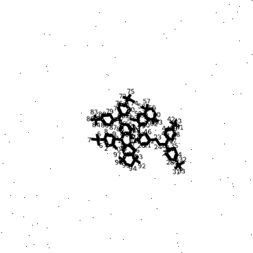 Cc1cc(C(C)(C)C)ccc1C1c2cc3c(cc2B2c4ccc(CCC(c5ccc(C(C)(C)C)cc5)c5ccc(C(C)(C)C)cc5)cc4N(c4cc5c(cc4C)C(C)(C)CCC5(C)C)c4cc(C(c5ccc(C(C)(C)C)cc5)c5ccc(C(C)(C)C)cc5)cc1c42)C(C)(C)CCC3(C)C